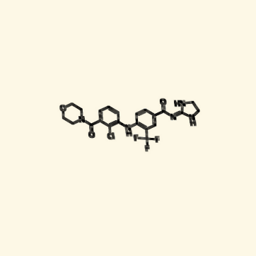 O=C(N=C1NCCN1)c1ccc(Nc2cccc(C(=O)N3CCOCC3)c2Cl)c(C(F)(F)F)c1